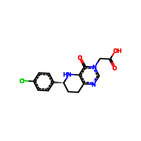 O=C(O)Cn1cnc2c(c1=O)N[C@@H](c1ccc(Cl)cc1)CC2